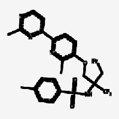 Cc1ccc(S(=O)(=O)NC(COc2ccc(-c3ccnc(C)n3)nc2C)(CC(C)C)C(F)(F)F)cc1